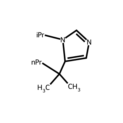 CCCC(C)(C)c1cncn1C(C)C